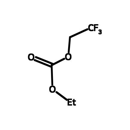 [CH2]COC(=O)OCC(F)(F)F